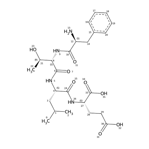 CC(C)C[C@H](NC(=O)[C@@H](NC(=O)[C@@H](N)Cc1ccccc1)[C@@H](C)O)C(=O)N[C@@H](CCC(=O)O)C(=O)O